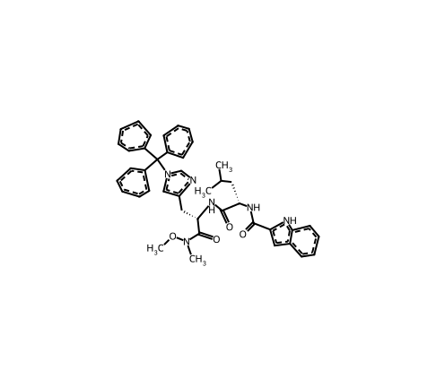 CON(C)C(=O)[C@H](Cc1cn(C(c2ccccc2)(c2ccccc2)c2ccccc2)cn1)NC(=O)[C@H](CC(C)C)NC(=O)c1cc2ccccc2[nH]1